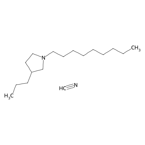 C#N.CCCCCCCCCN1CCC(CCC)C1